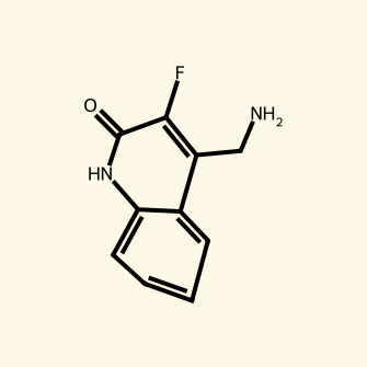 NCc1c(F)c(=O)[nH]c2ccccc12